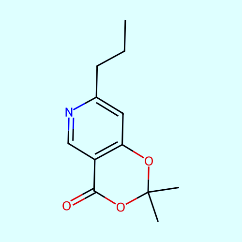 CCCc1cc2c(cn1)C(=O)OC(C)(C)O2